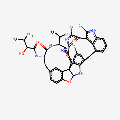 CC(C)[C@H](O)C(=O)N[C@H]1Cc2ccc3c(c2)C24c5cc(Br)cc(c5NC2O3)-c2cccc3[nH]c(Cl)c(c23)-c2oc(nc2Br)-c2nc(oc24)[C@H](C(C)C)NC1=O